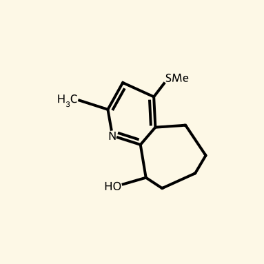 CSc1cc(C)nc2c1CCCCC2O